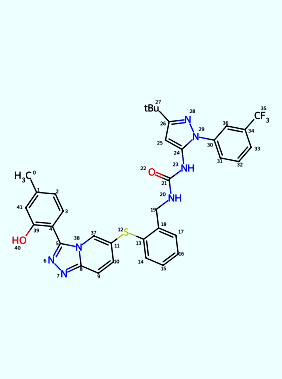 Cc1ccc(-c2nnc3ccc(Sc4ccccc4CNC(=O)Nc4cc(C(C)(C)C)nn4-c4cccc(C(F)(F)F)c4)cn23)c(O)c1